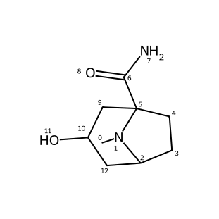 CN1C2CCC1(C(N)=O)CC(O)C2